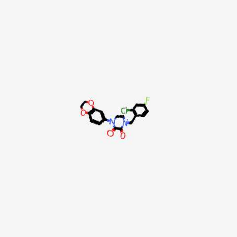 O=C1C(=O)N(c2ccc3c(c2)OCCO3)CCN1Cc1ccc(F)cc1Cl